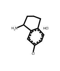 Cl.NC1CCCc2ccc(Cl)cc21